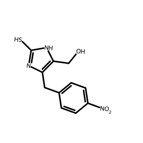 O=[N+]([O-])c1ccc(Cc2nc(S)[nH]c2CO)cc1